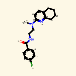 CCCN(CCNC(=O)c1ccc(F)cc1)c1ccc2c(n1)CCCC2